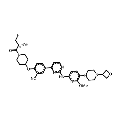 COc1nc(Nc2nccc(-c3ccc(OC4CCN(C(=O)[C@@H](O)CF)CC4)c(C#N)c3)n2)ccc1N1CCN(C2COC2)CC1